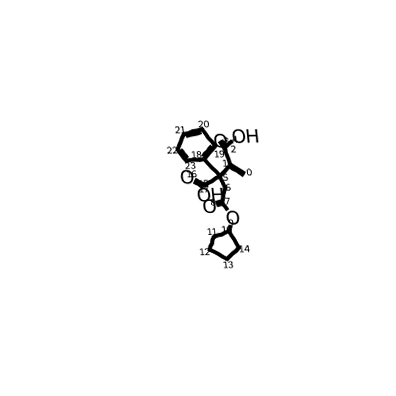 C=C(C(=O)O)C(CC(=O)OC1CCCC1)(C(=O)O)c1ccccc1